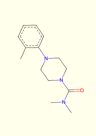 Cc1ccccc1N1CCN(C(=O)N(C)C)CC1